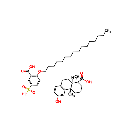 CCCCCCCCCCCCCCCCOc1ccc(S(=O)(=O)O)cc1C(=O)O.C[C@]1(C(=O)O)CCC[C@]2(C)c3cc(O)ccc3CC[C@@H]12